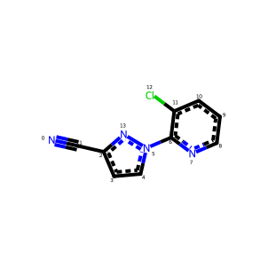 N#Cc1ccn(-c2ncccc2Cl)n1